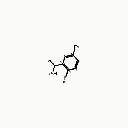 CC(S)c1cc(F)ccc1F